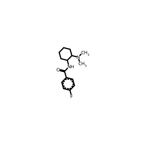 CN(C)C1CCCCC1NC(=O)c1ccc(F)cc1